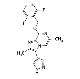 Cc1cn2c(-c3cn[nH]c3)c(C)nc2c(OCc2c(F)cccc2F)n1